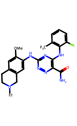 CCN1CCc2cc(OC)c(Nc3nnc(C(N)=O)c(Nc4c(F)cccc4C(F)(F)F)n3)cc2C1